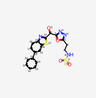 O=C(c1nnc(CCN[SH](=O)=O)o1)c1nc2ccc(-c3ccccc3)cc2s1